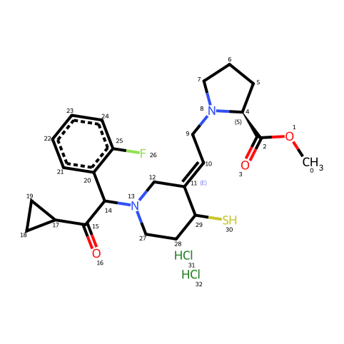 COC(=O)[C@@H]1CCCN1C/C=C1\CN(C(C(=O)C2CC2)c2ccccc2F)CCC1S.Cl.Cl